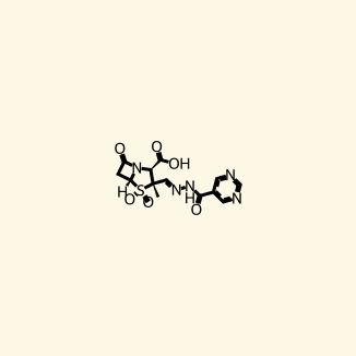 C[C@]1(/C=N/NC(=O)c2cncnc2)[C@H](C(=O)O)N2C(=O)C[C@H]2S1(=O)=O